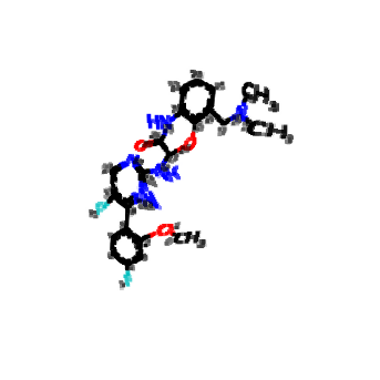 COc1cc(F)ccc1-c1nc(NC2Oc3c(CN(C)C)cccc3NC2=O)ncc1F